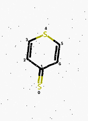 S=c1ccscc1